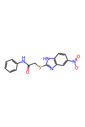 O=C(CSc1nc2cc([N+](=O)[O-])ccc2[nH]1)Nc1ccccc1